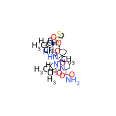 CN(C[C@@H](NC(=O)N[C@H](C(=O)N1C[C@H]2[C@@H]([C@H]1C(=O)NC(CC1CC1)C(=O)C(N)=O)C2(C)C)C1(C)CCCCC1)C(C)(C)C)S(=O)(=O)c1cccs1